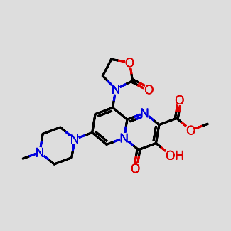 COC(=O)c1nc2c(N3CCOC3=O)cc(N3CCN(C)CC3)cn2c(=O)c1O